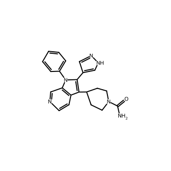 NC(=O)N1CCC(c2c(-c3cn[nH]c3)n(-c3ccccc3)c3cnccc23)CC1